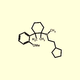 COc1ccccc1C1(C)CCCCC1(C)N(C)CCC1CCCC1